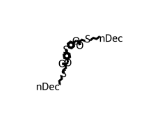 CCCCCCCCCCCCCCSCCC(=O)Oc1ccc(Sc2ccc(OC(=O)CCSCCCCCCCCCCCCCC)cc2)cc1